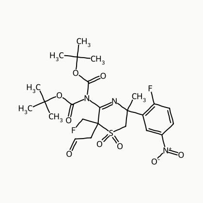 CC(C)(C)OC(=O)N(C(=O)OC(C)(C)C)C1=NC(C)(c2cc([N+](=O)[O-])ccc2F)CS(=O)(=O)C1(CF)CC=O